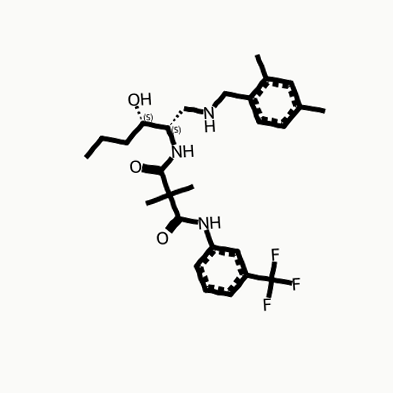 CCC[C@H](O)[C@H](CNCc1ccc(C)cc1C)NC(=O)C(C)(C)C(=O)Nc1cccc(C(F)(F)F)c1